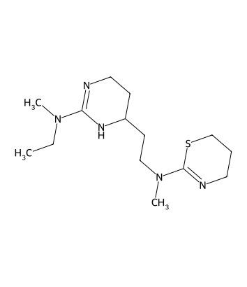 CCN(C)C1=NCCC(CCN(C)C2=NCCCS2)N1